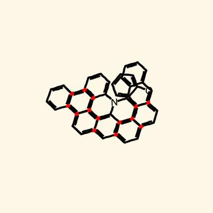 c1ccc(-c2ccccc2-c2ccccc2N(c2c(-c3ccccc3)cccc2-c2cccc3oc4ccccc4c23)c2c(-c3ccccc3)ccc3ccccc23)cc1